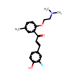 Cc1ccc(OCCN(C)C)c(C(=O)/C=C/c2ccc(O)c(F)c2)c1